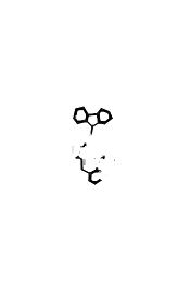 CC(C)(C)OC(=O)Nc1ncccc1CCC(NC(=O)OCC1c2ccccc2-c2ccccc21)C(=O)O